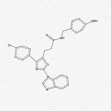 COc1ccc(CNC(=O)CCc2oc(-n3cnc4ccccc43)nc2-c2ccc(Cl)cc2)cc1